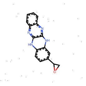 c1ccc2nc3c(nc2c1)Nc1ccc(C2CO2)cc1N3